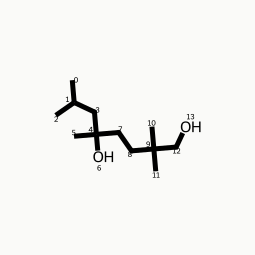 CC(C)CC(C)(O)CCC(C)(C)CO